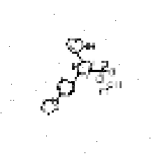 ClC(Cl)(Cl)c1nc(-c2ccc(N3CCCC3)cc2)nc(N2CC3CCC2CN3)n1.OCl